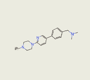 CC(C)N1CCN(c2ccc(-c3ccc(CN(C)C)cc3)cn2)CC1